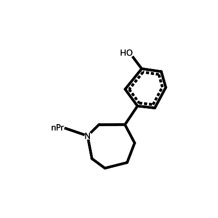 CCCN1CCCCC(c2cccc(O)c2)C1